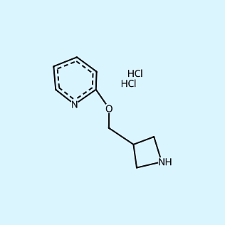 Cl.Cl.c1ccc(OCC2CNC2)nc1